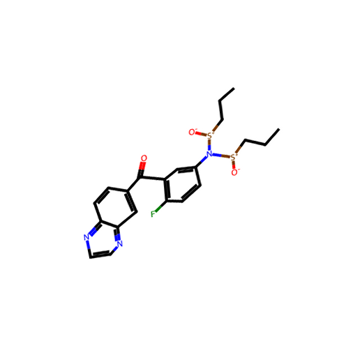 CCC[S+]([O-])N(c1ccc(F)c(C(=O)c2ccc3nccnc3c2)c1)[S+]([O-])CCC